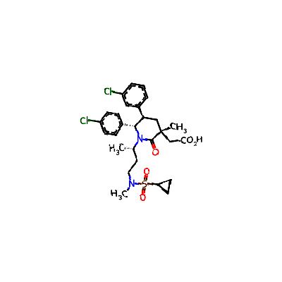 C[C@@H](CCN(C)S(=O)(=O)C1CC1)N1C(=O)[C@@](C)(CC(=O)O)C[C@H](c2cccc(Cl)c2)[C@H]1c1ccc(Cl)cc1